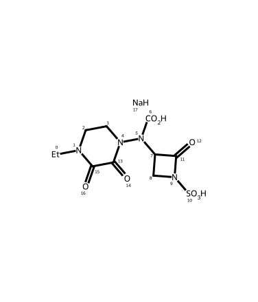 CCN1CCN(N(C(=O)O)C2CN(S(=O)(=O)O)C2=O)C(=O)C1=O.[NaH]